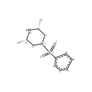 C[C@@H]1CN(S(=O)(=O)c2ccccc2)C[C@H](C)N1